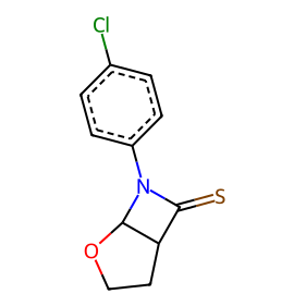 S=C1C2CCOC2N1c1ccc(Cl)cc1